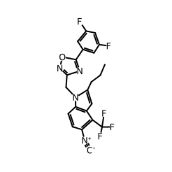 [C-]#[N+]c1ccc2c(cc(CCC)n2Cc2noc(-c3cc(F)cc(F)c3)n2)c1C(F)(F)F